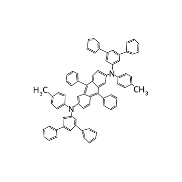 Cc1ccc(N(c2cc(-c3ccccc3)cc(-c3ccccc3)c2)c2ccc3c(-c4ccccc4)c4cc(N(c5ccc(C)cc5)c5cc(-c6ccccc6)cc(-c6ccccc6)c5)ccc4c(-c4ccccc4)c3c2)cc1